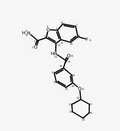 NC(=O)c1oc2ccc(F)cc2c1NC(=O)c1cccc(OC2CCCCC2)c1